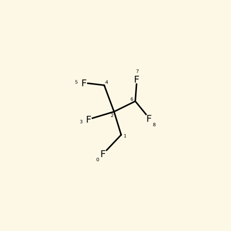 FCC(F)(CF)C(F)F